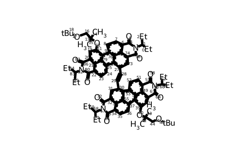 CCC(CC)N1C(=O)c2ccc3c4c(OC(C)(C)COC(C)(C)C)cc5c6c(ccc(c7c(C#Cc8cc9c%10c(ccc%11c%12c(OC(C)(C)COC(C)(C)C)cc%13c%14c(ccc(c8c%10%11)c%14%12)C(=O)N(C(CC)CC)C%13=O)C(=O)N(C(CC)CC)C9=O)cc(c2c37)C1=O)c64)C(=O)N(C(CC)CC)C5=O